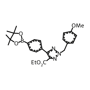 CCOC(=O)c1nn(Cc2ccc(OC)cc2)nc1-c1ccc(B2OC(C)(C)C(C)(C)O2)cc1